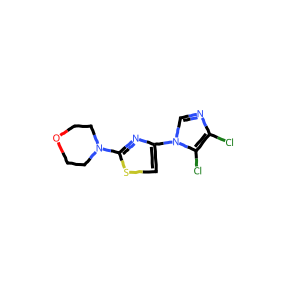 Clc1ncn(-c2csc(N3CCOCC3)n2)c1Cl